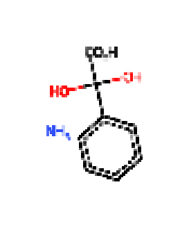 N.O=C(O)C(O)(O)c1ccccc1